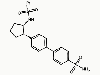 CC(C)S(=O)(=O)N[C@@H]1CCC[C@@H]1c1ccc(-c2ccc(S(N)(=O)=O)cc2)cc1